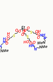 CCC(COC(=O)CCSCCC(O)COC(=O)NCCN(C)CCNC)(COC(=O)CCSCCC(O)COC(=O)NCCN(C)CCNC)COC(=O)CCSCCC(O)COC(=O)NCCN(C)CCNC